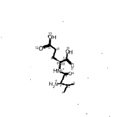 CC(C)C(N)C(=O)N[C@@H](CCC(=O)O)C(=O)O